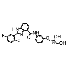 O=C(Nc1cccc(OC[C@H](O)CO)c1)c1cccc2[nH]c(-c3cc(F)ccc3F)nc12